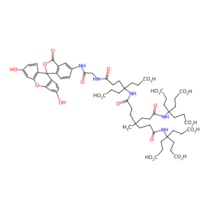 CC(CCC(=O)NC(CCC(=O)O)(CCC(=O)O)CCC(=O)O)(CCC(=O)NC(CCC(=O)O)(CCC(=O)O)CCC(=O)O)CCC(=O)NC(CCC(=O)O)(CCC(=O)O)CCC(=O)NCC(=O)Nc1ccc2c(c1)C(=O)OC21c2ccc(O)cc2Oc2cc(O)ccc21